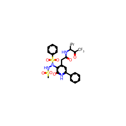 CC(C)C(NC(=O)Cc1cc(-c2ccccc2)[nH]c(=O)c1N(NS(C)(=O)=O)S(=O)(=O)c1ccccc1)C(=O)C(F)(F)F